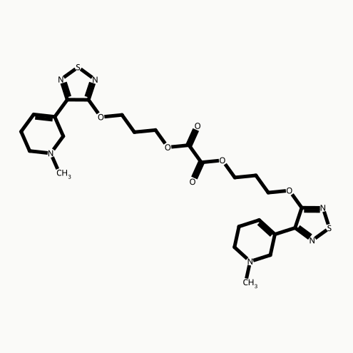 CN1CCC=C(c2nsnc2OCCCOC(=O)C(=O)OCCCOc2nsnc2C2=CCCN(C)C2)C1